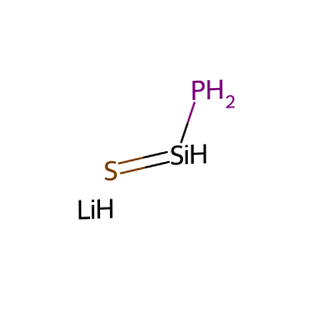 P[SiH]=S.[LiH]